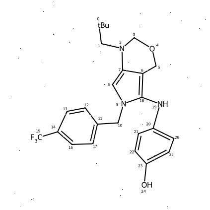 CC(C)(C)CN1COCc2c1cn(Cc1ccc(C(F)(F)F)cc1)c2Nc1ccc(O)cc1